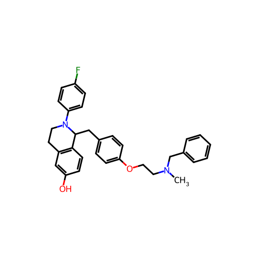 CN(CCOc1ccc(CC2c3ccc(O)cc3CCN2c2ccc(F)cc2)cc1)Cc1ccccc1